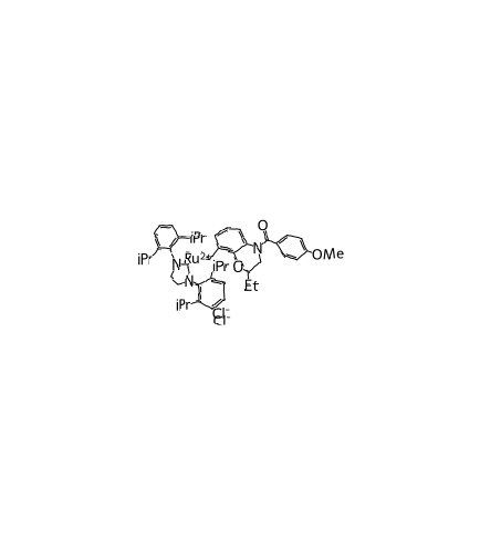 CCC1CN(C(=O)c2ccc(OC)cc2)c2cccc(/[CH]=[Ru+2]/[CH]3N(c4c(C(C)C)cccc4C(C)C)CCN3c3c(C(C)C)cccc3C(C)C)c2O1.[Cl-].[Cl-]